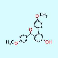 COc1ccc(C(=O)c2ccc(O)cc2-c2ccc(OC)cc2)cc1